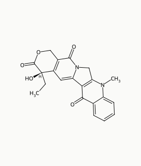 CC[C@]1(O)C(=O)OCc2c1cc1n(c2=O)Cc2c-1c(=O)c1ccccc1n2C